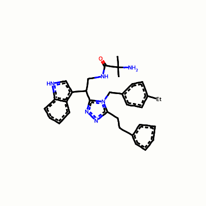 CCc1ccc(Cn2c(CCc3ccccc3)nnc2C(CNC(=O)C(C)(C)N)c2c[nH]c3ccccc23)cc1